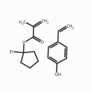 C=C(C)C(=O)OC1(CC)CCCC1.C=Cc1ccc(O)cc1